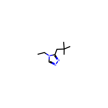 CCn1cnnc1CC(C)(C)C